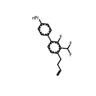 C=CCCc1ccc(-c2ccc(CCC)cc2)c(F)c1C(F)F